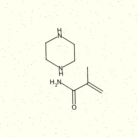 C1CNCCN1.C=C(C)C(N)=O